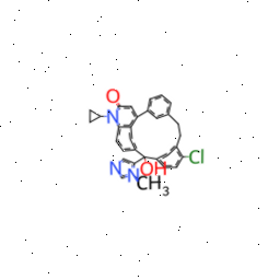 Cn1cncc1C1(O)c2ccc(Cl)c(c2)CCc2cccc(c2)-c2cc(=O)n(C3CC3)c3ccc1cc23